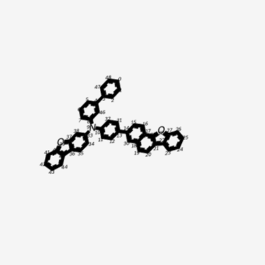 c1ccc(-c2cccc(N(c3ccc(-c4ccc5c(ccc6c7ccccc7oc56)c4)cc3)c3ccc4c(c3)oc3ccccc34)c2)cc1